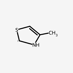 CC1=CS[C]N1